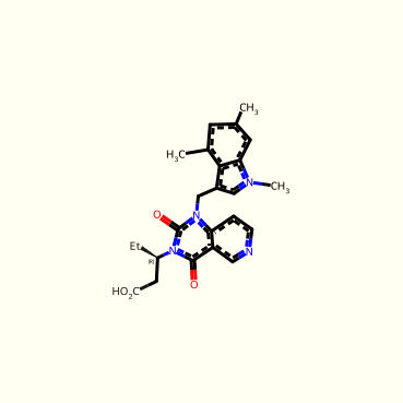 CC[C@H](CC(=O)O)n1c(=O)c2cnccc2n(Cc2cn(C)c3cc(C)cc(C)c23)c1=O